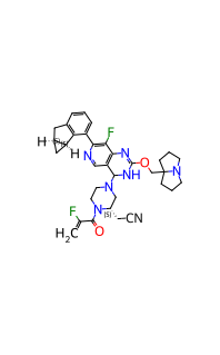 C=C(F)C(=O)N1CCN(C2NC(OCC34CCCN3CCC4)=Nc3c2cnc(-c2cccc4c2[C@H]2C[C@H]2C4)c3F)C[C@@H]1CC#N